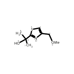 COCc1csc(C(C)(C)O)n1